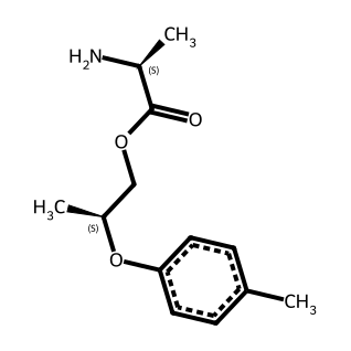 Cc1ccc(O[C@@H](C)COC(=O)[C@H](C)N)cc1